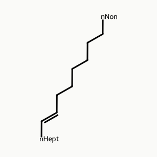 [CH2]CCCCCCC=CCCCCCCCCCCCCCC[CH2]